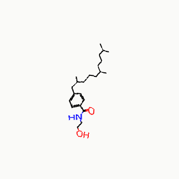 CC(C)CCCC(C)CCCC(C)Cc1ccc(C(=O)NCCO)cc1